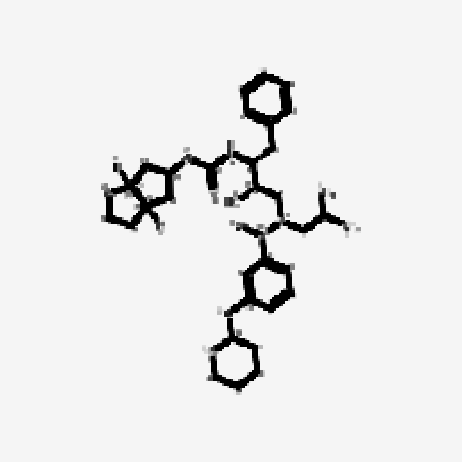 CC(C)CN(C[C@@H](O)[C@H](Cc1ccccc1)NC(=O)OC1C[C@@H]2CCO[C@@H]2C1)[S+]([O-])c1cccc(OC2CCCCO2)c1